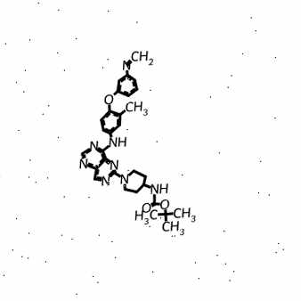 C=Nc1cccc(Oc2ccc(Nc3ncnc4cnc(N5CCC(NC(=O)OC(C)(C)C)CC5)nc34)cc2C)c1